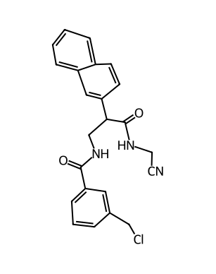 N#CCNC(=O)C(CNC(=O)c1cccc(CCl)c1)c1ccc2ccccc2c1